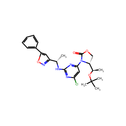 C[C@H](Nc1nc(Cl)cc(N2C(=O)OC[C@@H]2[C@@H](C)OC(C)(C)C)n1)c1cc(-c2ccccc2)on1